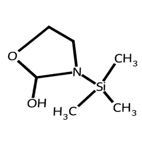 C[Si](C)(C)N1CCOC1O